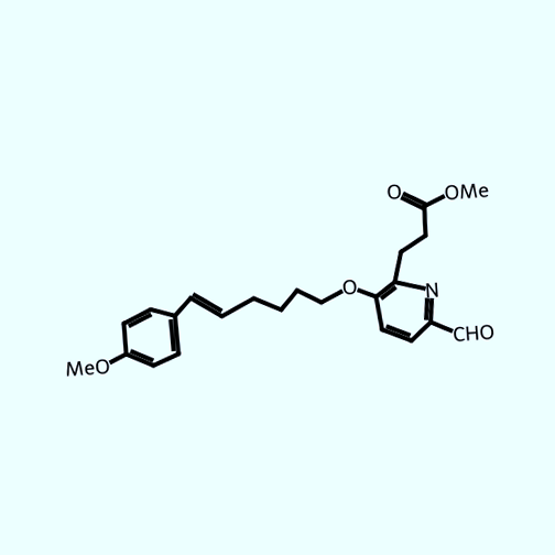 COC(=O)CCc1nc(C=O)ccc1OCCCCC=Cc1ccc(OC)cc1